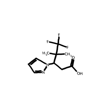 CC(C)(C(CC(=O)O)n1cccn1)C(F)(F)F